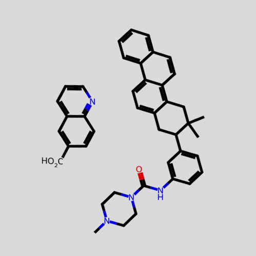 CN1CCN(C(=O)Nc2cccc(C3Cc4ccc5c(ccc6ccccc65)c4CC3(C)C)c2)CC1.O=C(O)c1ccc2ncccc2c1